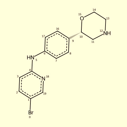 Brc1ccc(Nc2ccc([C@H]3CNCCO3)cc2)nc1